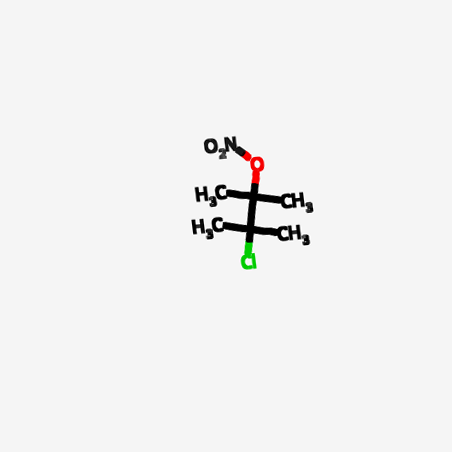 CC(C)(Cl)C(C)(C)O[N+](=O)[O-]